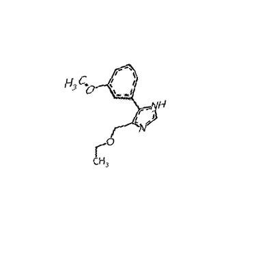 CCOCc1nc[nH]c1-c1cccc(OC)c1